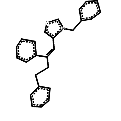 C(=C(CCc1ccccc1)c1ccccc1)c1cncn1Cc1ccccc1